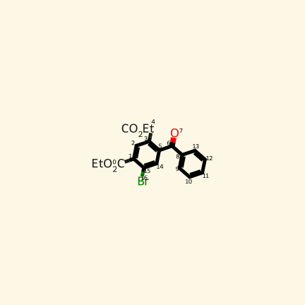 CCOC(=O)c1cc(C(=O)OCC)c(C(=O)c2ccccc2)cc1Br